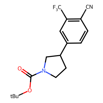 CC(C)(C)OC(=O)N1CCC(c2ccc(C#N)c(C(F)(F)F)c2)C1